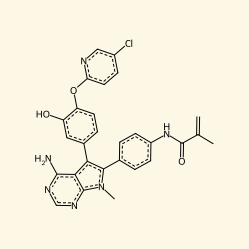 C=C(C)C(=O)Nc1ccc(-c2c(-c3ccc(Oc4ccc(Cl)cn4)c(O)c3)c3c(N)ncnc3n2C)cc1